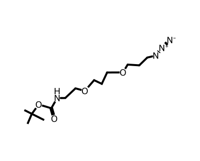 CC(C)(C)OC(=O)NCCOCCCOCCCN=[N+]=[N-]